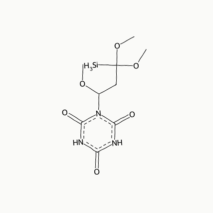 COC(CC([SiH3])(OC)OC)n1c(=O)[nH]c(=O)[nH]c1=O